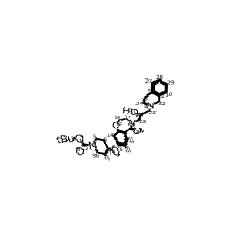 CC(C)(C)OC(=O)N1CCC(Oc2ccc3c(c2)OCCN(C[C@H](O)CN2CCc4ccccc4C2)C3=O)CC1